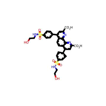 O=C(O)c1cc(-c2ccc(S(=O)(=O)NCCO)cc2)c2ccc3c(-c4ccc(S(=O)(=O)NCCO)cc4)cc(C(=O)O)nc3c2n1